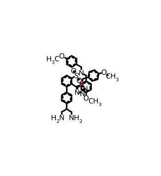 COc1ccc(CN(Cc2ccc(OC)cc2)S(=O)(=O)c2cccc(-c3ccc(C(CN)CN)cc3)c2-c2nnnn2Cc2ccc(OC)cc2)cc1